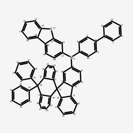 c1ccc(-c2ccc(N(c3ccc4c(c3)C3(c5ccccc5-4)c4ccccc4C(c4ccccc4)(c4ccccc4)c4ccccc43)c3ccc4c(c3)sc3ccccc34)cc2)cc1